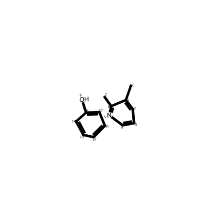 Cc1cccnc1C.Oc1ccccc1